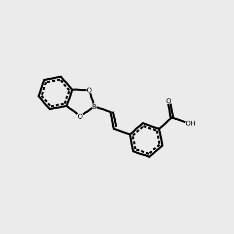 O=C(O)c1cccc(C=CB2Oc3ccccc3O2)c1